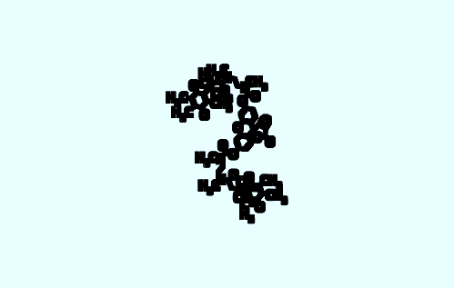 CC1=C(C)C(=O)C(C(C)(C)CC(=O)N(C)CCN(C)C(=O)Oc2ccc3c(c2)Oc2cc(OC(=O)N(C)CCN(C)C(=O)CC(C)(C)C4=C(C)C(=O)C(C)=C(C)C4=O)ccc2C32OC(=O)c3ccccc32)=C(C)C1=O